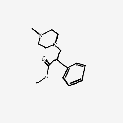 COC(=O)C(CN1CCN(C)CC1)c1ccccc1